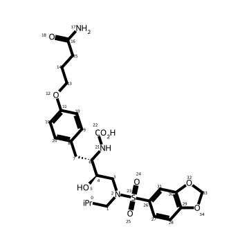 CC(C)CN(C[C@@H](O)[C@H](Cc1ccc(OCCCC(N)=O)cc1)NC(=O)O)S(=O)(=O)c1ccc2c(c1)OCO2